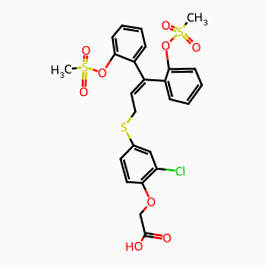 CS(=O)(=O)Oc1ccccc1C(=CCSc1ccc(OCC(=O)O)c(Cl)c1)c1ccccc1OS(C)(=O)=O